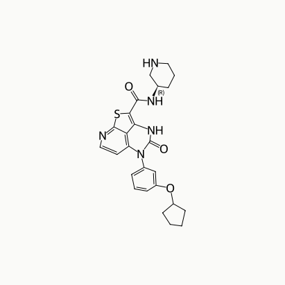 O=C(N[C@@H]1CCCNC1)c1sc2nccc3c2c1NC(=O)N3c1cccc(OC2CCCC2)c1